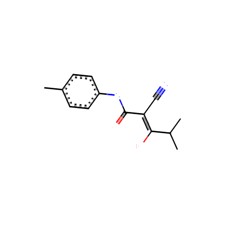 Cc1ccc(NC(=O)/C(C#N)=C(\O)C(C)C)cc1